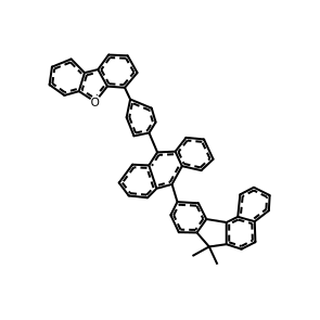 CC1(C)c2ccc(-c3c4ccccc4c(-c4ccc(-c5cccc6c5oc5ccccc56)cc4)c4ccccc34)cc2-c2c1ccc1ccccc21